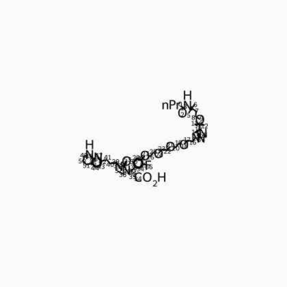 CCCC(=O)NC(C)(C)CCOC(C)(C)c1cn(CCOCCOCCOCCOc2ccc([C@H](CC(=O)O)N3CCN(CCCc4ccc5c(n4)NCCC5)C3=O)cc2F)nn1